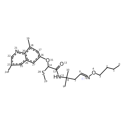 CCCCO/N=C/CC(C)(C)NC(=O)C(Oc1cc(C)c2ncc(I)cc2c1)SC